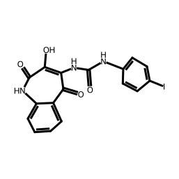 O=C(Nc1ccc(I)cc1)Nc1c(O)c(=O)[nH]c2ccccc2c1=O